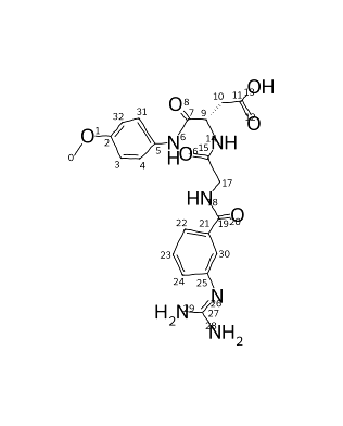 COc1ccc(NC(=O)[C@H](CC(=O)O)NC(=O)CNC(=O)c2cccc(N=C(N)N)c2)cc1